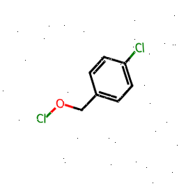 ClOCc1ccc(Cl)cc1